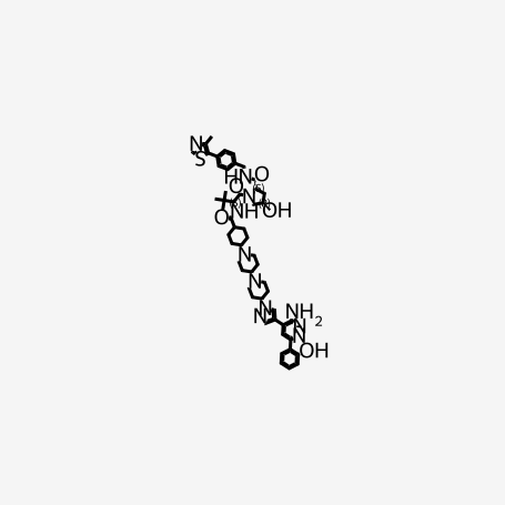 Cc1ncsc1-c1ccc(CNC(=O)[C@@H]2C[C@@H](O)CN2C(=O)[C@@H](NC(=O)C2CCC(N3CCC(N4CCC(n5cc(-c6cc(-c7ccccc7O)nnc6N)cn5)CC4)CC3)CC2)C(C)(C)C)cc1